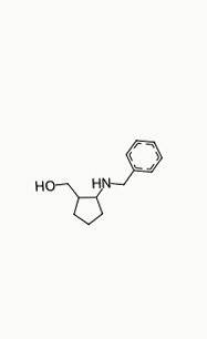 OCC1CCCC1NCc1ccccc1